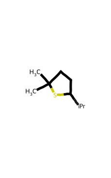 CC(C)C1CCC(C)(C)S1